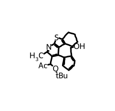 CC(=O)C(OC(C)(C)C)c1c(C)nc2sc3c(c2c1-c1ccccc1CO)CCCC3